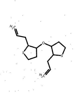 C=CCC1SCCC1OC1CCSC1CC=C